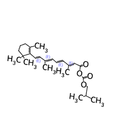 CC1=C(/C=C/C(C)=C/C=C/C(C)=C/C(=O)OC(=O)OCC(C)C)C(C)(C)CCC1